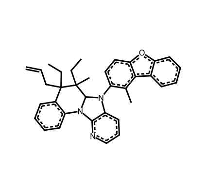 C=CCC1(CC)c2ccccc2N2c3ncccc3N(c3ccc4oc5ccccc5c4c3C)C2C1(C)CC